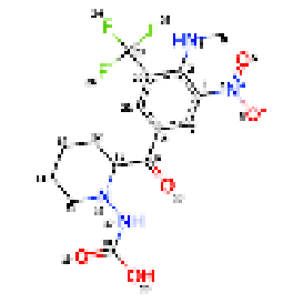 CNc1c([N+](=O)[O-])cc(C(=O)C2CCCCN2NC(=O)O)cc1C(F)(F)F